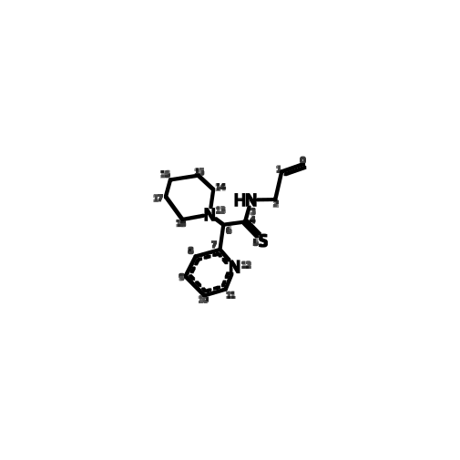 C=CCNC(=S)C(c1ccccn1)N1CCCCC1